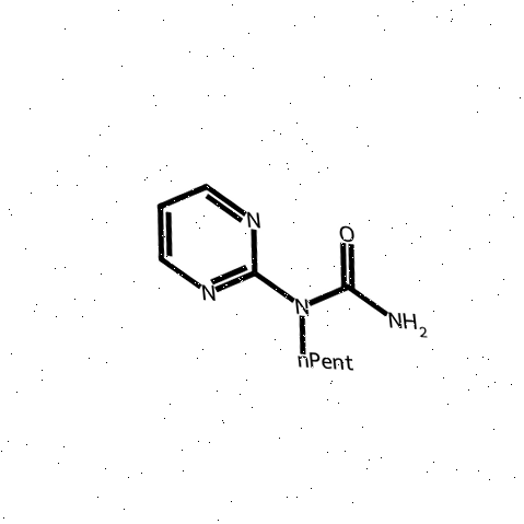 CCCCCN(C(N)=O)c1ncccn1